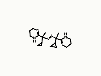 CC(N=NC(C)(C1=NCCCN1)C1CC1)(C1=NCCCN1)C1CC1